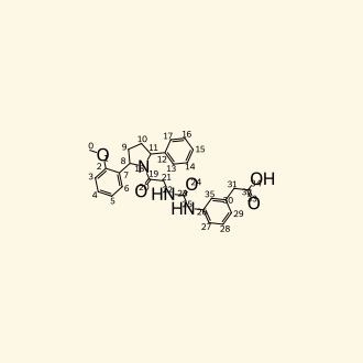 COc1ccccc1C1CCC(c2ccccc2)N1C(=O)CNC(=O)Nc1cccc(CC(=O)O)c1